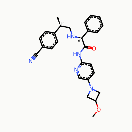 COC1CN(c2ccc(NC(=O)[C@@H](NC[C@H](C)c3ccc(C#N)cc3)c3ccccc3)nc2)C1